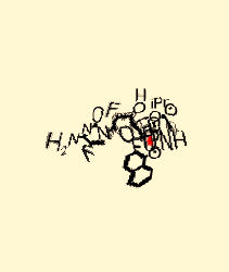 CC(C)OC(=O)[C@H](C)NP(=O)(OC[C@@]1(C(F)F)O[C@@H](n2cc(F)c(N)nc2=O)[C@H](F)[C@@H]1O)Oc1cccc2ccccc12